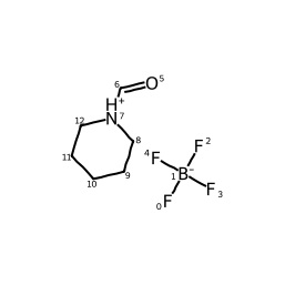 F[B-](F)(F)F.O=C[NH+]1CCCCC1